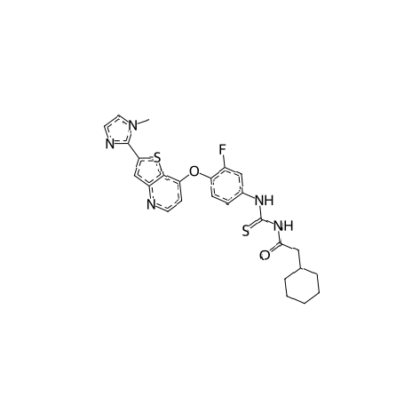 Cn1ccnc1-c1cc2nccc(Oc3ccc(NC(=S)NC(=O)CC4CCCCC4)cc3F)c2s1